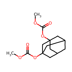 COC(=O)OC12CC3CC(C1)CC(OC(=O)OC)(C3)C2